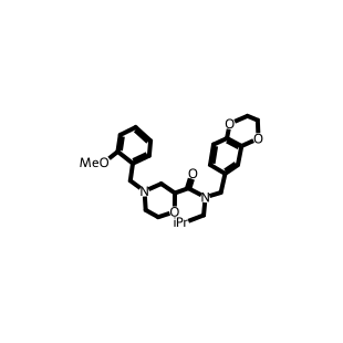 COc1ccccc1CN1CCOC(C(=O)N(Cc2ccc3c(c2)OCCO3)CC(C)C)C1